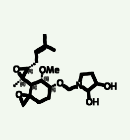 CO[C@@H]1[C@H](OCN2CCC(O)C2O)CCC2(CO2)[C@H]1[C@@]1(C)O[C@@H]1CC=C(C)C